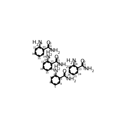 NC(=O)c1ccccc1N.NC(=O)c1ccccc1N.NC(=O)c1ccccc1N.NC(=O)c1ccccc1N